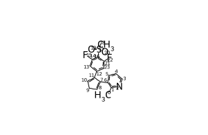 Cc1ncccc1C1=CCC=C1c1cc(F)c(S(C)(=O)=O)c(F)c1